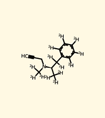 [2H]c1c([2H])c([2H])c(C([2H])([2H])[C@H](N(CC#C)C([2H])([2H])[2H])C([2H])([2H])[2H])c([2H])c1[2H]